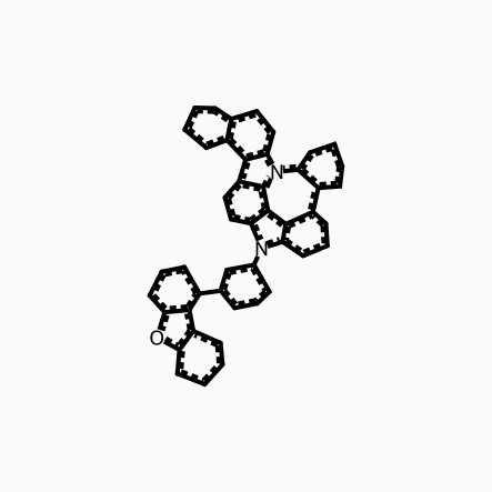 c1cc(-c2cccc3oc4ccccc4c23)cc(-n2c3cccc4c5ccccc5n5c6ccc7ccccc7c6c6ccc2c(c43)c65)c1